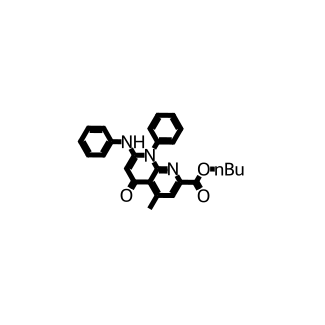 CCCCOC(=O)c1cc(C)c2c(=O)cc(Nc3ccccc3)n(-c3ccccc3)c2n1